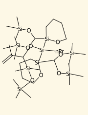 C=C(C)C(O[Si](CCC)([Si]1(C(O[Si](C)(C)C)O[Si](C)(C)C)CCCCO1)[Si]1(C(O[Si](C)(C)C)O[Si](C)(C)C)CCCCO1)[Si](C)(C)O[Si](C)(C)C